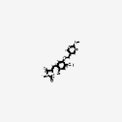 CSc1ncc(COc2cc(/C=C3\SC(=O)N(C)C3=O)c(Br)cc2O)cn1